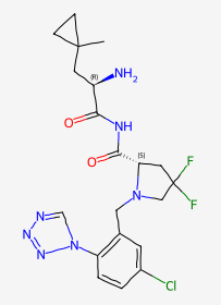 CC1(C[C@@H](N)C(=O)NC(=O)[C@@H]2CC(F)(F)CN2Cc2cc(Cl)ccc2-n2cnnn2)CC1